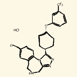 Cl.FC(F)(F)c1cccc(O[C@H]2CC[C@H](c3nnc4n3-c3ccc(Cl)cc3CNC4)CC2)c1